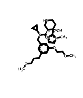 COCCCc1cc(CN(C(=O)[C@H]2CNCC[C@]2(O)c2nccn2C)C2CC2)cc(OCCOC)c1